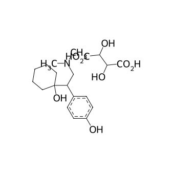 CN(C)CC(c1ccc(O)cc1)C1(O)CCCCC1.O=C(O)C(O)C(O)C(=O)O